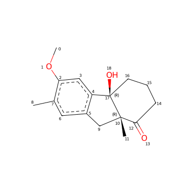 COc1cc2c(cc1C)C[C@@]1(C)C(=O)CCC[C@@]21O